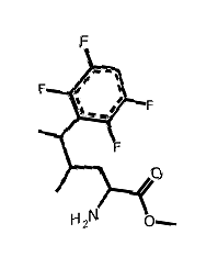 COC(=O)C(N)CC(C)C(C)c1c(F)c(F)cc(F)c1F